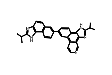 CC(C)c1nc2ccc3cc(-c4ccc5c(c4)c4ccncc4c4nc(C(C)C)[nH]c54)ccc3c2[nH]1